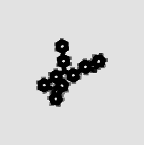 c1ccc(-c2ccc(N(c3ccc(-c4ccccc4-n4c5ccccc5c5ccccc54)cc3)c3cccc(-c4ccc5c(c4)oc4ccccc45)c3)cc2)cc1